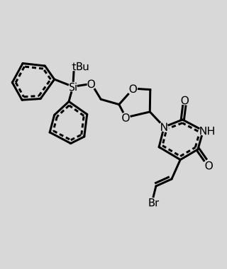 CC(C)(C)[Si](OCC1OCC(n2cc(C=CBr)c(=O)[nH]c2=O)O1)(c1ccccc1)c1ccccc1